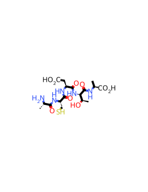 C[C@H](N)C(=O)N[C@@H](CS)C(=O)N[C@@H](CC(=O)O)C(=O)N[C@H](C(=O)N[C@@H](C)C(=O)O)[C@@H](C)O